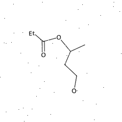 CCC(=O)OC(C)CC[O]